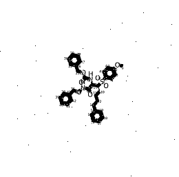 COc1ccc(S(=O)(=O)[C@H](CCCCc2ccccc2)[C@H](NC(=O)OCc2ccccc2)C(=O)NOCc2ccccc2)cc1